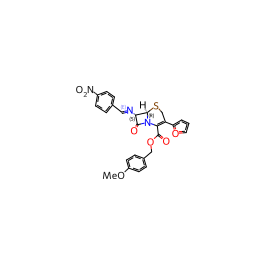 COc1ccc(COC(=O)C2=C(c3ccco3)CS[C@@H]3[C@@H](/N=C/c4ccc([N+](=O)[O-])cc4)C(=O)N23)cc1